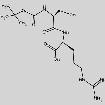 CC(C)(C)OC(=O)N[C@@H](CO)C(=O)N[C@@H](CCCNC(=N)N)C(=O)O